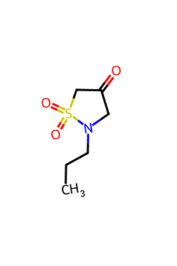 CCCN1CC(=O)CS1(=O)=O